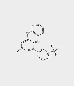 Cn1cc(Oc2ccccc2)c(=O)c(-c2cccc(C(F)(F)F)c2)c1